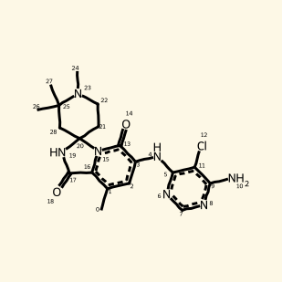 Cc1cc(Nc2ncnc(N)c2Cl)c(=O)n2c1C(=O)NC21CCN(C)C(C)(C)C1